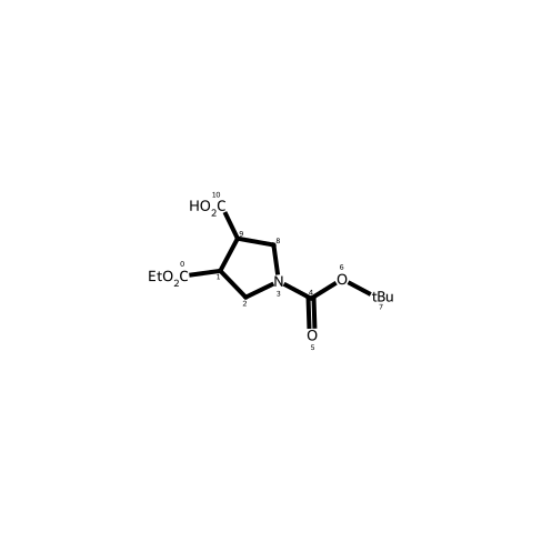 CCOC(=O)C1CN(C(=O)OC(C)(C)C)CC1C(=O)O